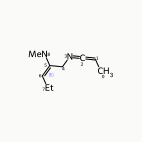 CC=C=NC/C(=C\CC)NC